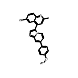 CCc1ccc2nc(C)cc(-c3cnc4cc(-c5ccc(OC(C)C)cc5)ccn34)c2c1